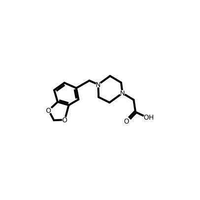 O=C(O)CN1CCN(Cc2ccc3c(c2)OCO3)CC1